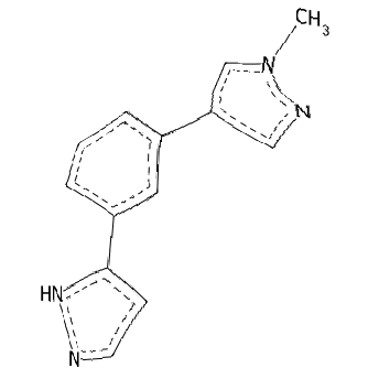 Cn1cc(-c2cccc(-c3ccn[nH]3)c2)cn1